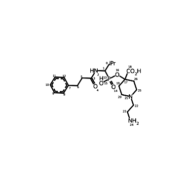 CC(C)C(NC(=O)CCc1ccccc1)P(=O)(O)OC1(C(=O)O)CCN(CCN)CC1